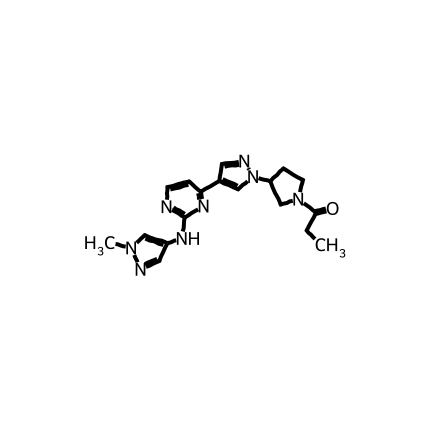 CCC(=O)N1CCC(n2cc(-c3ccnc(Nc4cnn(C)c4)n3)cn2)C1